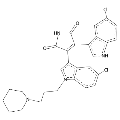 O=C1NC(=O)C(c2cn(CCCN3CCCCC3)c3ccc(Cl)cc23)=C1c1c[nH]c2ccc(Cl)cc12